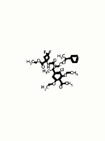 CCOC(=O)C1(NC(=O)N(CCO[C@@H](C)c2ccccc2)[C@H](C)c2cc(OCC)c(C(C)=O)c(OCC)c2Cl)CC(F)(F)C1